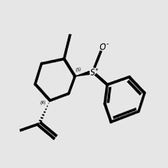 C=C(C)[C@@H]1CCC(C)[C@@H]([S+]([O-])c2ccccc2)C1